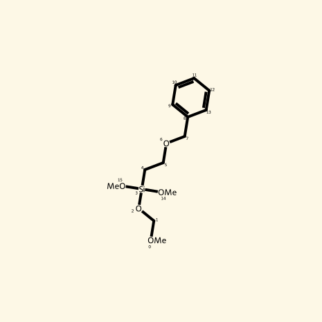 COCO[Si](CCOCc1ccccc1)(OC)OC